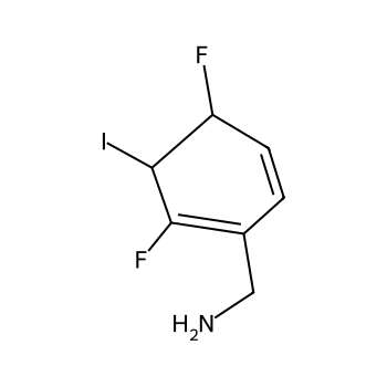 NCC1=C(F)C(I)C(F)C=C1